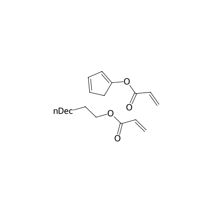 C=CC(=O)OC1=CC=CC1.C=CC(=O)OCCCCCCCCCCCC